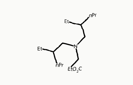 CCCC(CC)CN(CC(=O)OCC)CC(CC)CCC